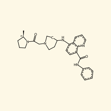 C[C@@H]1CCCN1C(=O)CN1CCC(Nc2ccc(C(=O)Nc3ccccc3)c3ncccc23)CC1